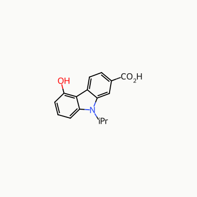 CC(C)n1c2cc(C(=O)O)ccc2c2c(O)cccc21